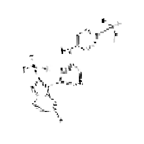 Fc1ccc2nc(C(F)(F)F)c(-c3cncc(Nc4ccc(C(F)(F)F)cc4)n3)n2c1